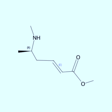 CN[C@H](C)C/C=C/C(=O)OC